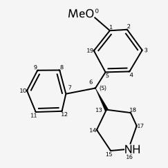 COc1cccc([C@H](c2ccccc2)C2CCNCC2)c1